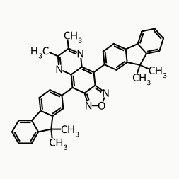 Cc1nc2c(-c3ccc4c(c3)C(C)(C)c3ccccc3-4)c3nonc3c(-c3ccc4c(c3)C(C)(C)c3ccccc3-4)c2nc1C